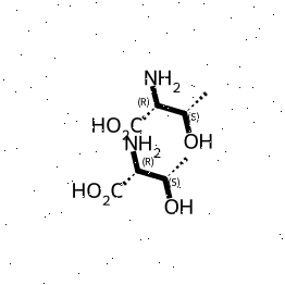 C[C@H](O)[C@@H](N)C(=O)O.C[C@H](O)[C@@H](N)C(=O)O